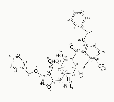 N[C@@H]1c2onc(OCc3ccccc3)c2C(=O)[C@@]2(O)C(O)=C3C(=O)c4c(OCc5ccccc5)ccc(C(F)(F)F)c4C[C@H]3C[C@@H]12